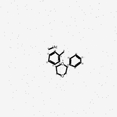 C1COCCO1.CC(C)=O.Cc1ccccc1.c1ccccc1